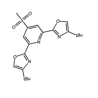 CC(C)(C)c1coc(-c2cc(S(C)(=O)=O)cc(-c3nc(C(C)(C)C)co3)n2)n1